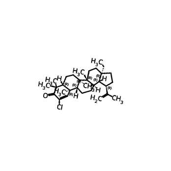 C=C(C)[C@@H]1CC[C@]2(CC)CC[C@]3(C)[C@H](CC[C@@H]4[C@@]5(C)C=C(Cl)C(=O)C(C)(C)[C@@H]5CC[C@]43C)[C@@H]12